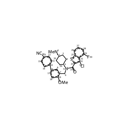 CN[C@H]1CC[C@@H](N(Cc2cc(-c3ccc(C#N)cc3)ccc2OC)C(=O)c2sc3cccc(F)c3c2Cl)CC1